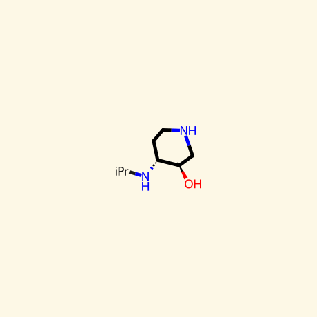 CC(C)N[C@@H]1CCNC[C@H]1O